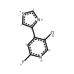 Fc1cc(-c2cs[c]n2)c(Cl)cn1